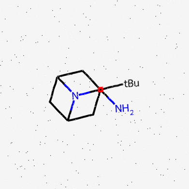 CC(C)(C)C1CC2CC(C1)N2CN